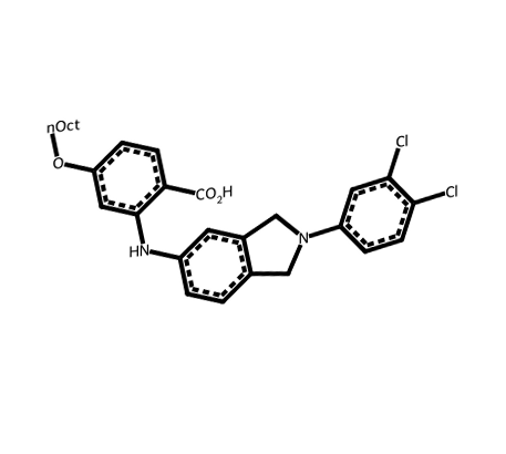 CCCCCCCCOc1ccc(C(=O)O)c(Nc2ccc3c(c2)CN(c2ccc(Cl)c(Cl)c2)C3)c1